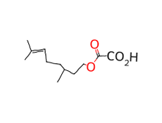 CC(C)=CCCC(C)CCOC(=O)C(=O)O